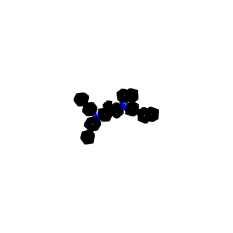 CC1(C)c2cc(N(c3ccc(-c4ccccc4)cc3)c3ccc(-c4ccccc4)cc3)ccc2-c2ccc(N(c3ccc(-c4ccc5ccccc5c4)cc3)c3cccc4ccccc34)cc21